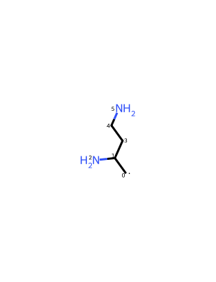 [CH2]C(N)CCN